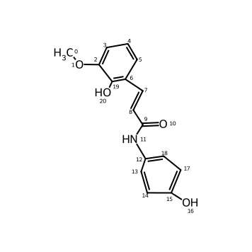 COc1cccc(/C=C/C(=O)Nc2ccc(O)cc2)c1O